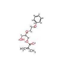 C=C(C)C(=O)OCC(CO)OCCOc1ccccc1